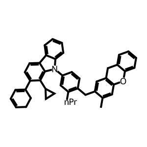 CCCc1cc(-n2c3ccccc3c3ccc(C4=CC=CCC4)c(C4CC4)c32)ccc1Cc1cc2c(cc1C)Oc1ccccc1C2